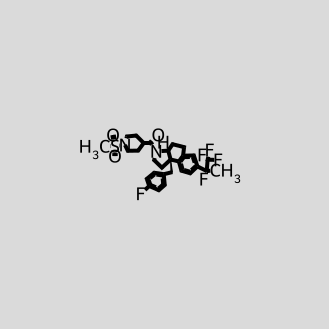 CC(F)(c1ccc2c(c1)CC[C@H]1N(C(=O)C3CCN(S(C)(=O)=O)CC3)CC[C@@]21Cc1ccc(F)cc1)C(F)(F)F